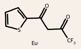 O=C(CC(=O)C(F)(F)F)c1cccs1.[Eu]